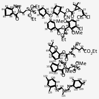 CC1(C)[C@H](C(=O)OC(C#N)c2cccc(Oc3ccccc3)c2)[C@@H]1C=C(Cl)Cl.CCO/N=C(\OC(=O)c1ccccc1)c1c(OC)ccc(Cl)c1OC.CCOC(=O)CCN(SN(C)C(=O)Oc1cccc2c1OC(C)(C)C2)C(C)C.CCOP(=S)(OCC)SCn1nnc2ccccc2c1=O.COP(=S)(OC)SCn1nnc2ccccc2c1=O.Cc1ccc(/N=C/N(C)/C=N/c2ccc(C)cc2C)c(C)c1